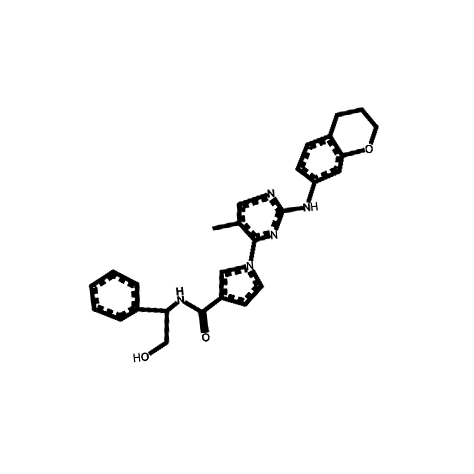 Cc1cnc(Nc2ccc3c(c2)OCCC3)nc1-n1ccc(C(=O)NC(CO)c2ccccc2)c1